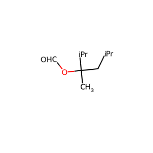 CC(C)CC(C)(OC=O)C(C)C